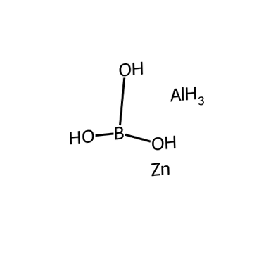 OB(O)O.[AlH3].[Zn]